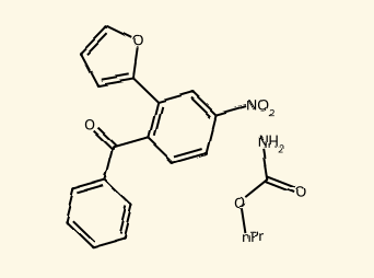 CCCOC(N)=O.O=C(c1ccccc1)c1ccc([N+](=O)[O-])cc1-c1ccco1